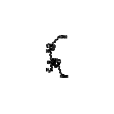 CCCCCCCCCCCCCCCC(=O)N1CCCC1C(=O)NCCCCC(NC(=O)C1CCCN1C(=O)CCCCCCCCCCCCCCC)C(=O)NCCN